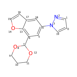 c1cnn(-c2cc(C3OCCCO3)c3occc3c2)c1